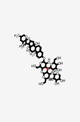 CC1COC2(OC3CC4(O)C5CC=C6CC(OC7OC(CO)C(OC8OC(CO)C(O)C(OC9OCC(O)C(O)C9O)C8OC8OC(CO)C(O)C(O)C8O)C(O)C7O)CCC6(C)C5CCC4(C)C3C2C)C(O)C1